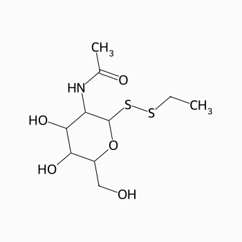 CCSSC1OC(CO)C(O)C(O)C1NC(C)=O